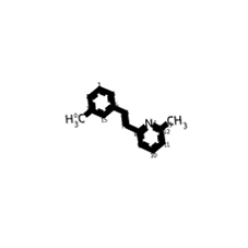 Cc1cccc(C=Cc2cccc(C)n2)c1